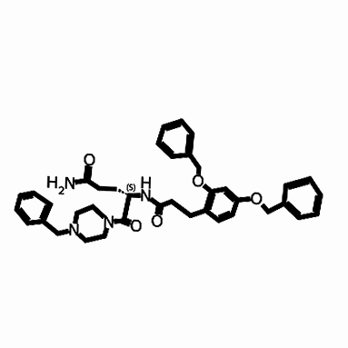 NC(=O)CC[C@H](NC(=O)CCc1ccc(OCc2ccccc2)cc1OCc1ccccc1)C(=O)N1CCN(Cc2ccccc2)CC1